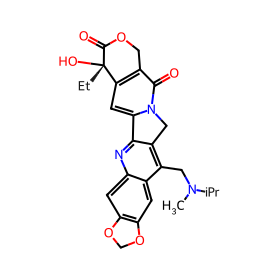 CC[C@@]1(O)C(=O)OCc2c1cc1n(c2=O)Cc2c-1nc1cc3c(cc1c2CN(C)C(C)C)OCO3